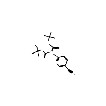 CC(C)(C)OC(=O)N(C(=O)OC(C)(C)C)c1ccc(C#N)cn1